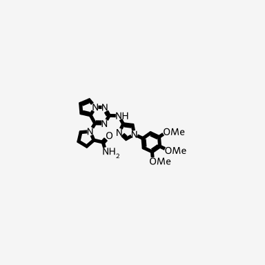 COc1cc(-n2cnc(Nc3nc(N4CCCC4C(N)=O)c4cccn4n3)c2)cc(OC)c1OC